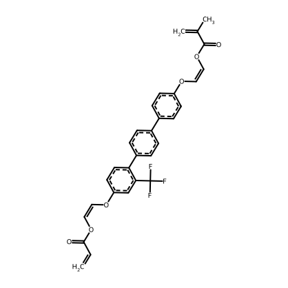 C=CC(=O)O/C=C\Oc1ccc(-c2ccc(-c3ccc(O/C=C\OC(=O)C(=C)C)cc3)cc2)c(C(F)(F)F)c1